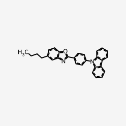 CCCCc1ccc2oc(-c3ccc(-n4c5ccccc5c5ccccc54)cc3)nc2c1